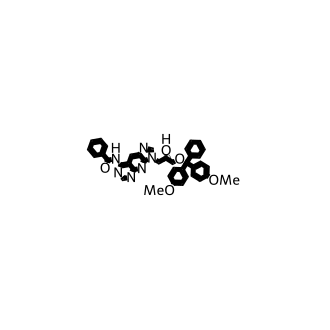 COc1ccc(C(OC[C@@H](O)Cn2cnc3cc4c(NC(=O)c5ccccc5)ncnc4nc32)(c2ccccc2)c2ccc(OC)cc2)cc1